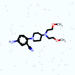 COCCN(CCOC)C1CCN(c2ccc(N)cc2C#N)CC1